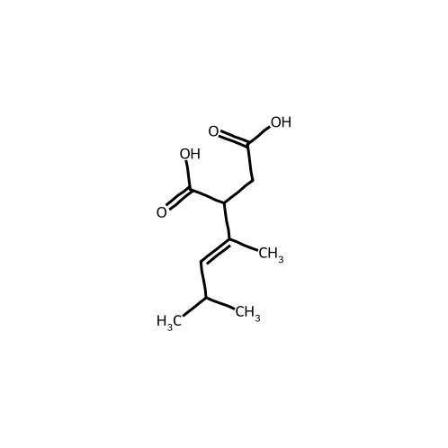 C/C(=C\C(C)C)C(CC(=O)O)C(=O)O